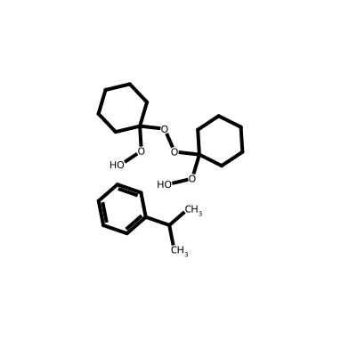 CC(C)c1ccccc1.OOC1(OOC2(OO)CCCCC2)CCCCC1